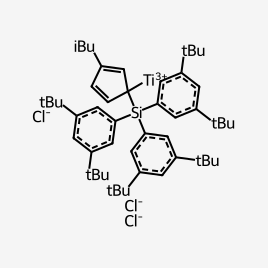 CCC(C)C1=C[C]([Ti+3])([Si](c2cc(C(C)(C)C)cc(C(C)(C)C)c2)(c2cc(C(C)(C)C)cc(C(C)(C)C)c2)c2cc(C(C)(C)C)cc(C(C)(C)C)c2)C=C1.[Cl-].[Cl-].[Cl-]